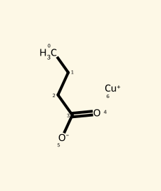 CCCC(=O)[O-].[Cu+]